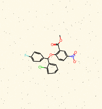 COC(=O)c1cc([N+](=O)[O-])ccc1OC(c1ccc(F)cc1)c1ccccc1Cl